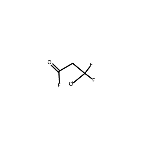 O=C(F)CC(F)(F)Cl